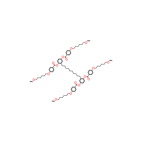 C=COCCCCCCOc1ccc(C(=O)Oc2ccc(OC(=O)c3ccc(OCCCCCCOC=C)cc3)c(CCCCCCCCCCc3cc(OC(=O)c4ccc(OCCCCCCOC=C)cc4)ccc3OC(=O)c3ccc(OCCCCCCOC=C)cc3)c2)cc1